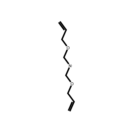 C=CCOC[N]COCC=C